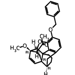 CO[C@]12C=C[C@@]3(C[C@@H]1C(C)=O)[C@@H]1CCC[C@@]34c3c(ccc(OCc5ccccc5)c3O[C@@H]24)C1